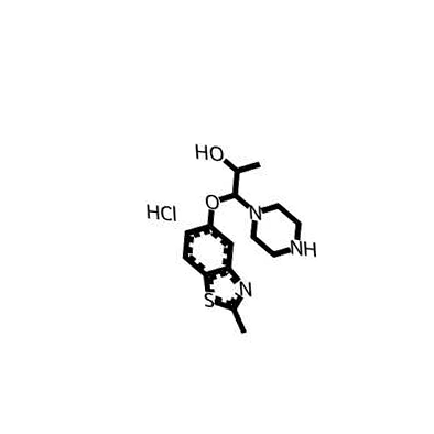 Cc1nc2cc(OC(C(C)O)N3CCNCC3)ccc2s1.Cl